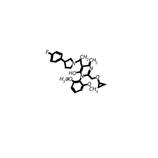 C=C1N=C(COC2CC2)N(c2c(OC)cccc2OC)C(O)=C1C(=C)N1CCC(c2ccc(F)cc2)C1